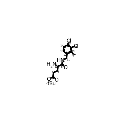 CC(C)(C)OC(=O)CC[C@@H](N)C(=O)NCc1ccc(Cl)c(Cl)c1F